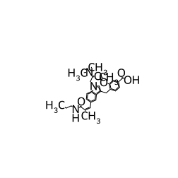 CCCNC(=O)/C(C)=C\c1ccc2c(c1)c(Cc1ccc(C(=O)O)cc1OC)cn2CC(=O)N(C)C